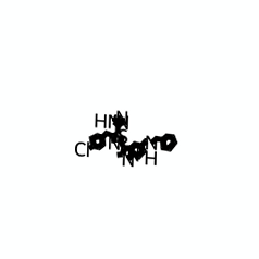 Cc1nn2ccc(CNCc3ccccc3)cc2c1-c1nc(Cc2ccc(Cl)cc2)c(-c2nnc[nH]2)s1